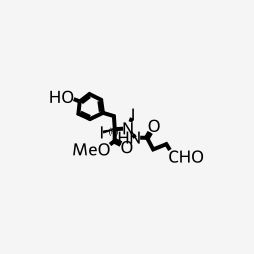 COC(=O)[C@](I)(Cc1ccc(O)cc1)N(I)NC(=O)CCC=O